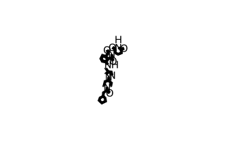 O=C1CCC(N2C(=O)c3cccc(NCc4cnn(C5CCN(C(=O)CC6CCCCC6)CC5)c4)c3C2=O)C(=O)N1